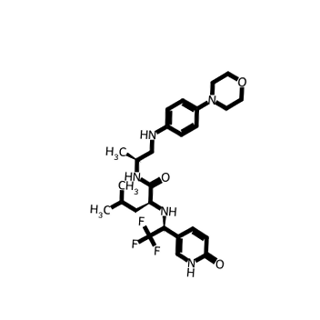 CC(C)C[C@H](N[C@@H](c1ccc(=O)[nH]c1)C(F)(F)F)C(=O)N[C@@H](C)CNc1ccc(N2CCOCC2)cc1